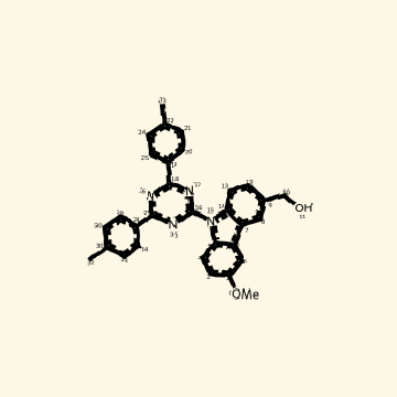 COc1ccc2c(c1)c1cc(CO)ccc1n2-c1nc(-c2ccc(C)cc2)nc(-c2ccc(C)cc2)n1